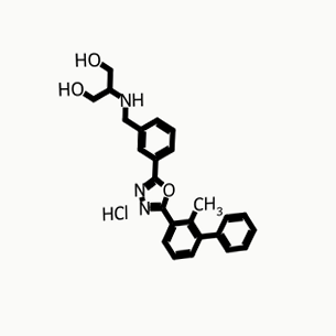 Cc1c(-c2ccccc2)cccc1-c1nnc(-c2cccc(CNC(CO)CO)c2)o1.Cl